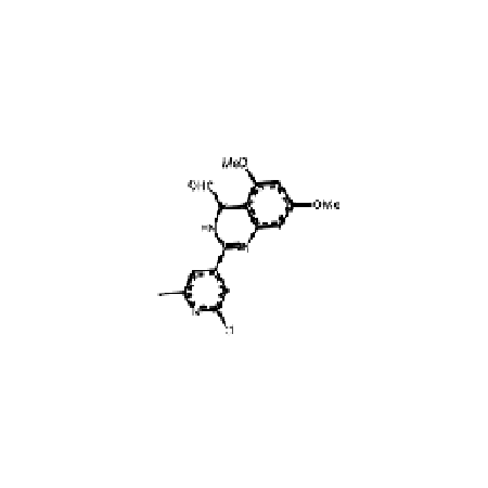 COc1cc2c(c(OC)c1)C(C=O)NC(c1cc(C)nc(Cl)c1)=N2